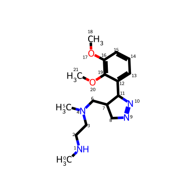 CNCCN(C)CC1CN=NC1c1cccc(OC)c1OC